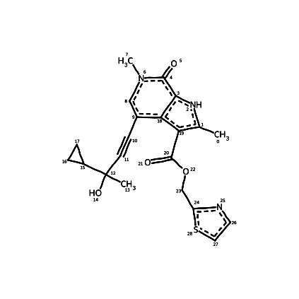 Cc1[nH]c2c(=O)n(C)cc(C#CC(C)(O)C3CC3)c2c1C(=O)OCc1nccs1